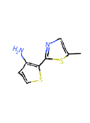 Cc1cnc(-c2sccc2N)s1